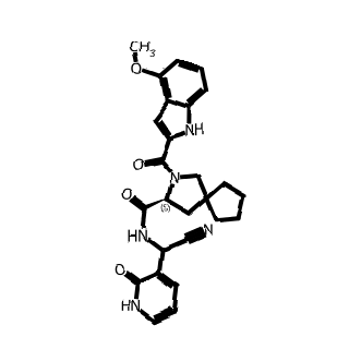 COc1cccc2[nH]c(C(=O)N3CC4(CCCC4)C[C@H]3C(=O)NC(C#N)c3ccc[nH]c3=O)cc12